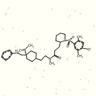 Cc1cc(S(=O)(=O)N2CCCCC2CCC(=O)N(C)CCC2CCC(CCc3ccccc3)(N(C)C)CC2)c(C)cc1Cl